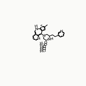 Cc1cc2c(s1)NC=c1cccnc1=C2N1CCNC(CCc2cccnc2)C1.Cl.Cl.Cl.O.O